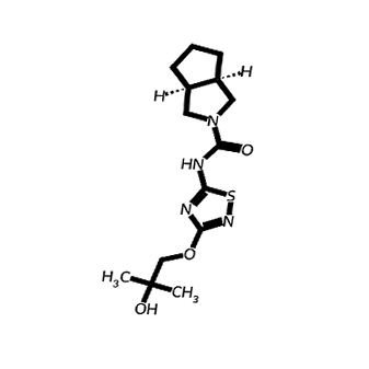 CC(C)(O)COc1nsc(NC(=O)N2C[C@H]3CCC[C@H]3C2)n1